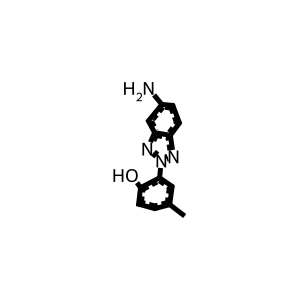 Cc1ccc(O)c(-n2nc3ccc(N)cc3n2)c1